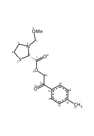 COCN1CCS[C@H]1C(=O)OCC(=O)c1ccc(C)cc1